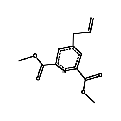 C=CCc1cc(C(=O)OC)nc(C(=O)OC)c1